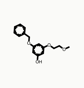 COCCOc1cc(O)cc(OCc2ccccc2)c1